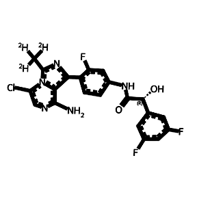 [2H]C([2H])([2H])c1nc(-c2ccc(NC(=O)[C@H](O)c3cc(F)cc(F)c3)cc2F)c2c(N)ncc(Cl)n12